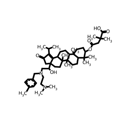 Cc1ccc(CN(CCN(C)C)CC(O)C23CCC4(C)C(CCC5C6(C)CCC(OC(=O)CC(C)(C)C(=O)O)C(C)(C)C6CCC54C)C2=C(C(C)C)C(=O)C3)cc1